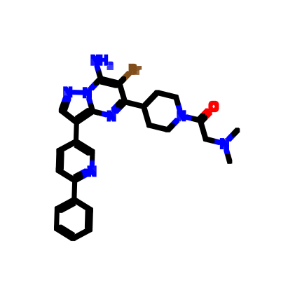 CN(C)CC(=O)N1CCC(c2nc3c(-c4ccc(-c5ccccc5)nc4)cnn3c(N)c2Br)CC1